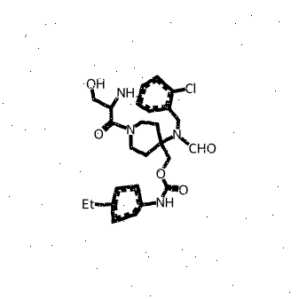 CCc1ccc(NC(=O)OCC2(N(C=O)Cc3ccccc3Cl)CCN(C(=O)C(N)CO)CC2)cc1